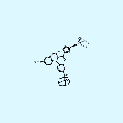 CCCC[C@H]1Cc2cc(OC)ccc2[C@H](c2ccc(NC34CC5CC(CC(C5)C3)C4)cc2)N1C(=O)c1csc(C#C[Si](C)(C)C)n1